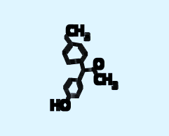 CCc1ccc(C(C(C)=O)c2ccc(O)cc2)cc1